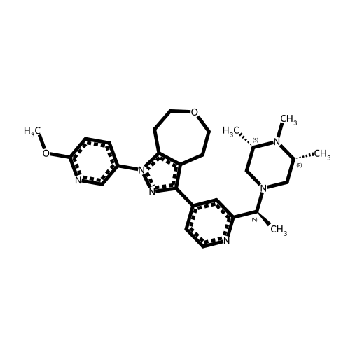 COc1ccc(-n2nc(-c3ccnc([C@H](C)N4C[C@@H](C)N(C)[C@@H](C)C4)c3)c3c2CCOCC3)cn1